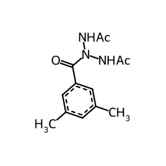 CC(=O)NN(NC(C)=O)C(=O)c1cc(C)cc(C)c1